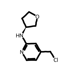 ClCc1ccnc(N[C@H]2CCOC2)c1